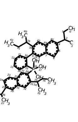 CCC(C)c1ccc2cc(-c3ccccc3P(O)(O)(O)c3cc4ccc(C(C)CC)cc4cc3C(C)CC)c(C(C)CC)cc2c1